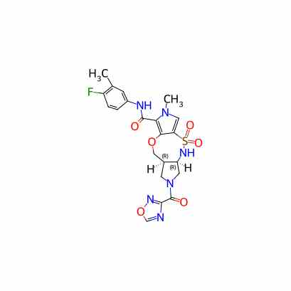 Cc1cc(NC(=O)c2c3c(cn2C)S(=O)(=O)N[C@H]2CN(C(=O)c4ncon4)C[C@H]2CO3)ccc1F